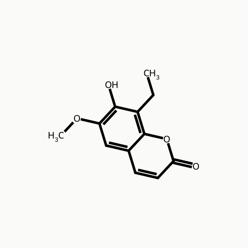 CCc1c(O)c(OC)cc2ccc(=O)oc12